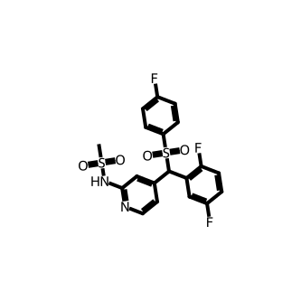 CS(=O)(=O)Nc1cc(C(c2cc(F)ccc2F)S(=O)(=O)c2ccc(F)cc2)ccn1